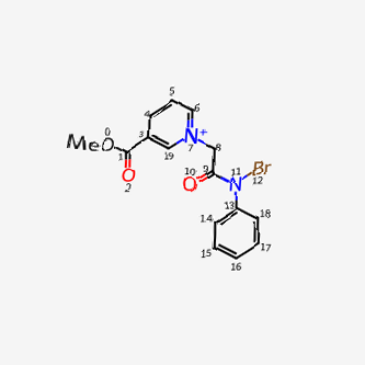 COC(=O)c1ccc[n+](CC(=O)N(Br)c2ccccc2)c1